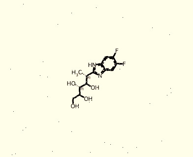 C[C@H](c1nc2cc(F)c(F)cc2[nH]1)C(O)[C@@H](O)C(O)CO